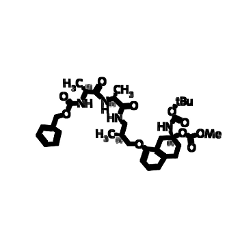 COC(=O)O[C@]1(NC(=O)OC(C)(C)C)CCc2cccc(OC[C@@H](C)CNC(=O)[C@H](C)NC(=O)[C@H](C)NC(=O)OCc3ccccc3)c2C1